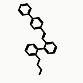 CCCCc1ccccc1-c1ccccc1C=Cc1ccc(-c2ccccc2)cc1